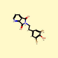 O=C1c2cccnc2C(=O)N1CCc1cc(Br)c(O)c(Br)c1